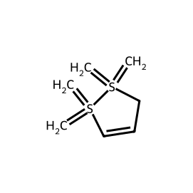 C=S1(=C)C=CCS1(=C)=C